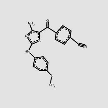 CSc1ccc(Nc2nc(N)c(C(=O)c3ccc(C#N)cc3)s2)cc1